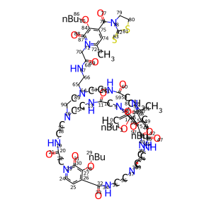 C=C1C(OCCCC)=C2C=C(C)N1CC(=O)NCCN1CCNC(=O)Cn3ccc(c(OCCCC)c3=O)C(=O)NCCN(CCNC2=O)CCNC(=O)c2cc(C)n(c(=O)c2OCCCC)CC(=O)NCCN(CCNC(=O)Cn2c(C)cc(C(=O)N3CCSC3=S)c(OCCCC)c2=O)CC1